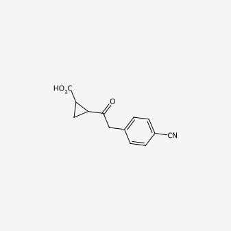 N#Cc1ccc(CC(=O)C2CC2C(=O)O)cc1